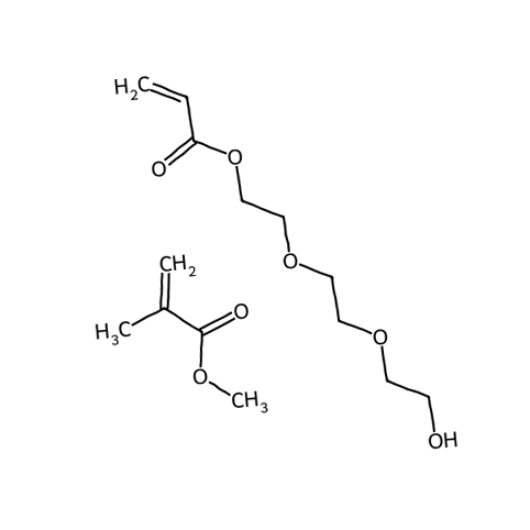 C=C(C)C(=O)OC.C=CC(=O)OCCOCCOCCO